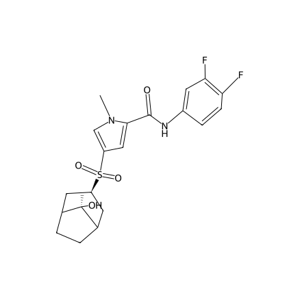 Cn1cc(S(=O)(=O)[C@H]2CC3CCC(C2)[C@@]3(C)O)cc1C(=O)Nc1ccc(F)c(F)c1